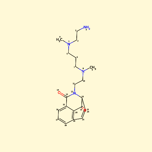 CN(CCN)CCCN(C)CCN1C(=O)c2cccc3c2C(=O)C1C=C3